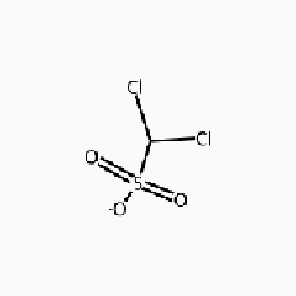 [O]S(=O)(=O)C(Cl)Cl